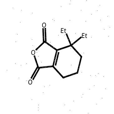 CCC1(CC)CCCC2=C1C(=O)OC2=O